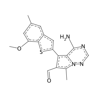 COc1cc(C)cc2cc(-c3c(C=O)c(C)n4ncnc(N)c34)sc12